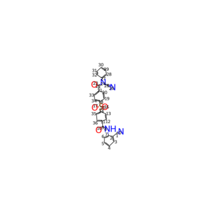 N#Cc1ccccc1NC(=O)c1ccc(S(=O)(=O)c2ccc(C(=O)N(C#N)c3ccccc3)cc2)cc1